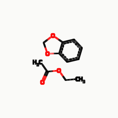 CCOC(C)=O.c1ccc2c(c1)OCO2